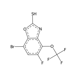 Fc1cc(Br)c2oc(S)nc2c1OC(F)(F)F